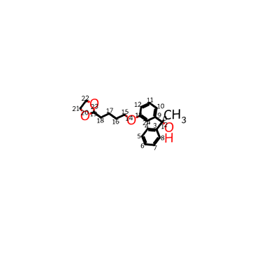 CC(O)(c1ccccc1)c1cccc(OCCCCC2OCCO2)c1